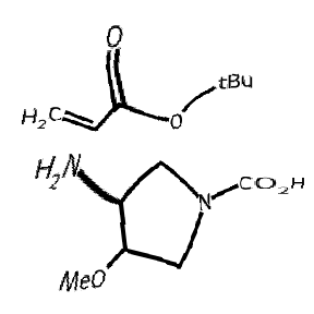 C=CC(=O)OC(C)(C)C.COC1CN(C(=O)O)CC1N